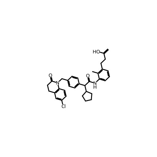 C=C(O)CCc1cccc(NC(=O)C(c2ccc(CN3C(=O)CCc4cc(Cl)ccc43)cc2)C2CCCC2)c1C